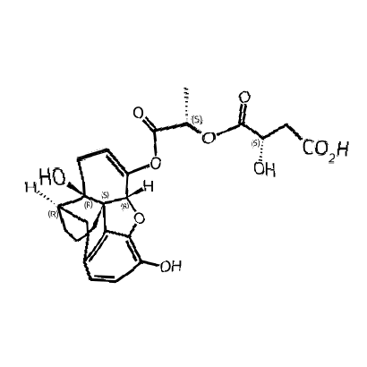 C[C@H](OC(=O)[C@@H](O)CC(=O)O)C(=O)OC1=CC[C@@]2(O)[C@@H]3CCC[C@@]24c2c(ccc(O)c2O[C@@H]14)C3